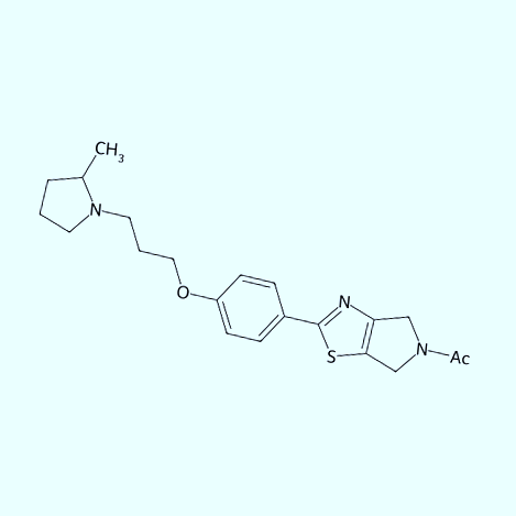 CC(=O)N1Cc2nc(-c3ccc(OCCCN4CCCC4C)cc3)sc2C1